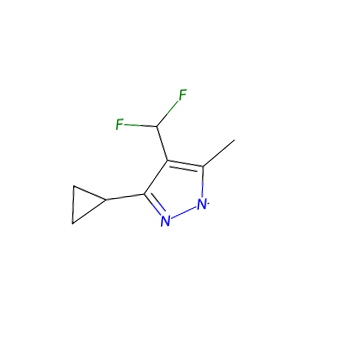 CC1=C(C(F)F)C(C2CC2)=N[N]1